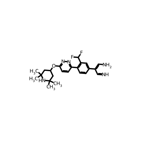 CC1(C)CC(Oc2ccc(-c3ccc(/C(C=N)=C/N)cc3C(F)F)nn2)CC(C)(C)N1